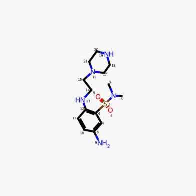 CN(C)S(=O)(=O)c1cc(N)ccc1NCCN1CCNCC1